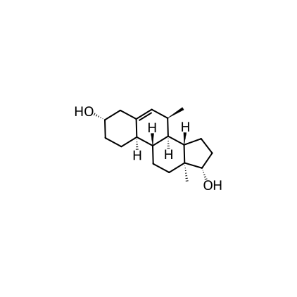 C[C@@H]1C=C2C[C@@H](O)CC[C@@H]2[C@H]2CC[C@]3(C)[C@@H](O)CC[C@H]3[C@@H]21